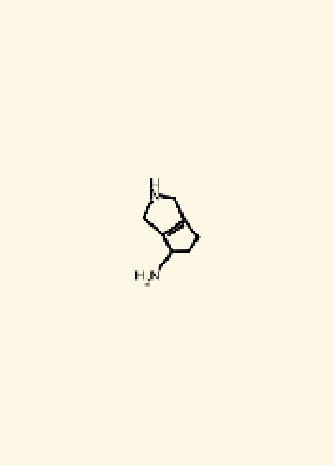 NC1CCC2=C1CNC2